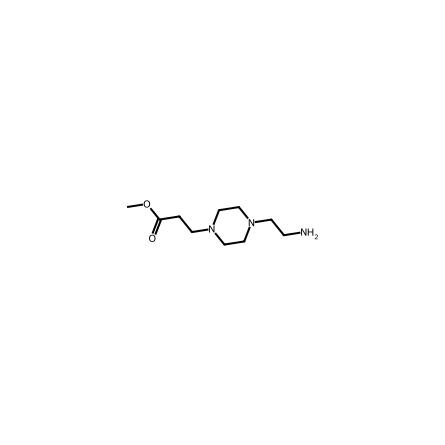 COC(=O)CCN1CCN(CCN)CC1